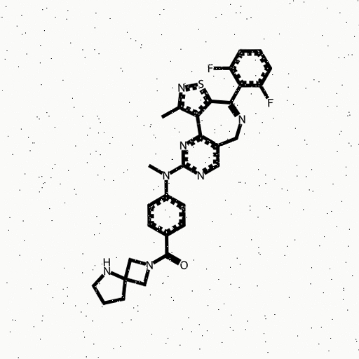 Cc1nsc2c1-c1nc(N(C)c3ccc(C(=O)N4CC5(CCCN5)C4)cc3)ncc1CN=C2c1c(F)cccc1F